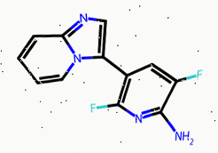 Nc1nc(F)c(-c2cnc3ccccn23)cc1F